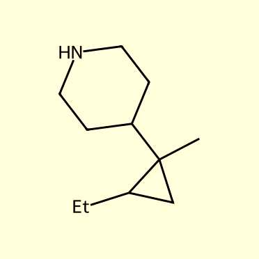 CCC1CC1(C)C1CCNCC1